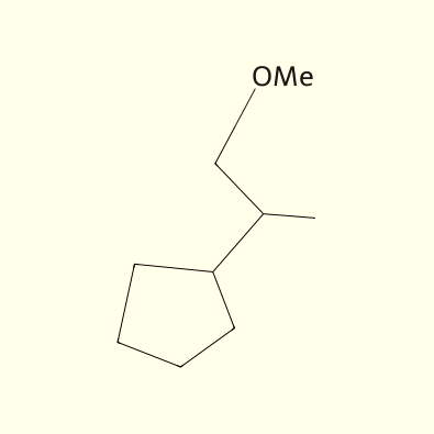 COCC(C)C1CCCC1